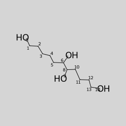 OCCCCCC(O)C(O)CCCCO